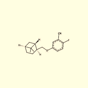 CC1(C)[C@H]2CC[C@H](COc3ccc(F)c(C#N)c3)[C@H]1C2